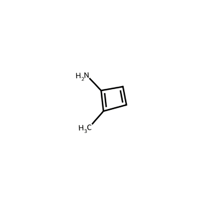 CC1=C(N)C=C1